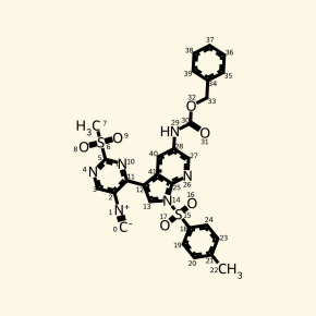 [C-]#[N+]c1cnc(S(C)(=O)=O)nc1-c1cn(S(=O)(=O)c2ccc(C)cc2)c2ncc(NC(=O)OCc3ccccc3)cc12